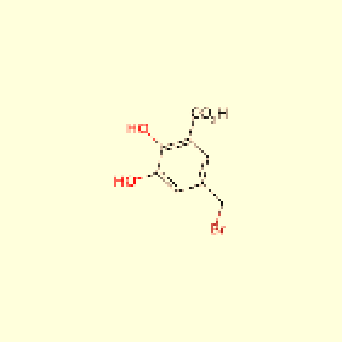 O=C(O)c1cc(CBr)cc(O)c1O